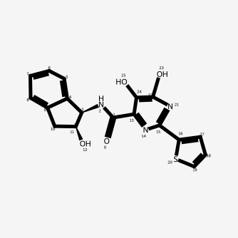 O=C(N[C@@H]1c2ccccc2C[C@@H]1O)c1nc(-c2cccs2)nc(O)c1O